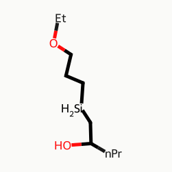 CCCC(O)C[SiH2]CCCOCC